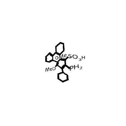 COc1c(-c2ccccc2C2CCCCC2)c(OC)c(S(=O)(=O)O)c(P)c1C1CCCCC1